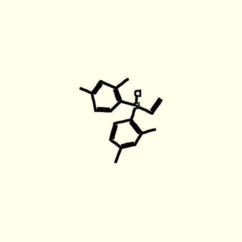 C=C[Si](Cl)(c1ccc(C)cc1C)c1ccc(C)cc1C